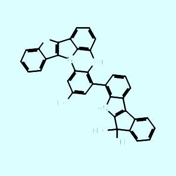 Cc1cc(-c2cccc3c4c([nH]c23)C(C)(C)c2ccccc2-4)c2c(c1)-n1c3c(cccc3c3oc4ccccc4c31)B2